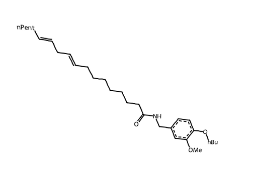 CCCCCC=CCC=CCCCCCCCC(=O)NCc1ccc(OCCCC)c(OC)c1